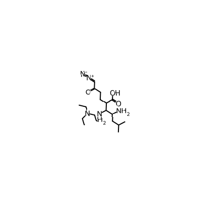 CC(C)CC(N)C(N)C(CCC(=O)C=[N+]=[N-])C(=O)O.CCN(CC)CC